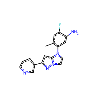 Cc1cc(F)c(N)cc1-n1ccn2nc(-c3cccnc3)cc12